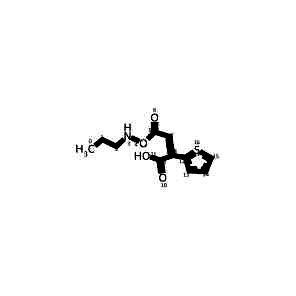 CCCNOC(=O)/C=C(\C(=O)O)c1cccs1